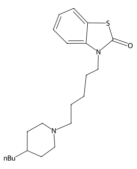 CCCCC1CCN(CCCCCn2c(=O)sc3ccccc32)CC1